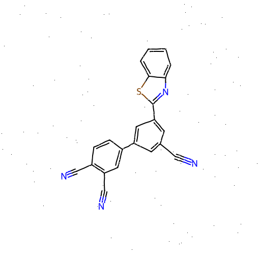 N#Cc1cc(-c2ccc(C#N)c(C#N)c2)cc(-c2nc3ccccc3s2)c1